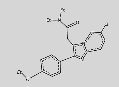 CCOc1ccc(-c2nc3ccc(Cl)cn3c2CC(=O)N(CC)CC)cc1